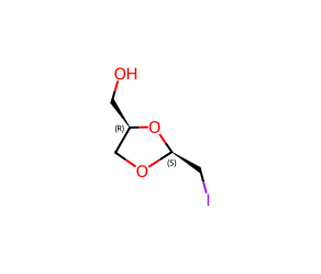 OC[C@@H]1CO[C@H](CI)O1